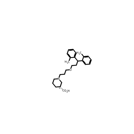 Cc1ccccc1C(CCOCCCN1CCC[C@@H](C(=O)O)C1)c1ccccc1C